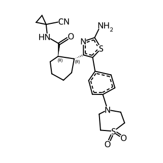 N#CC1(NC(=O)[C@@H]2CCCC[C@H]2c2nc(N)sc2-c2ccc(N3CCS(=O)(=O)CC3)cc2)CC1